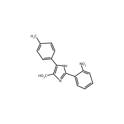 Cc1ccc(-c2[nH]c(-c3ccccc3[N+](=O)[O-])nc2C(=O)O)cc1